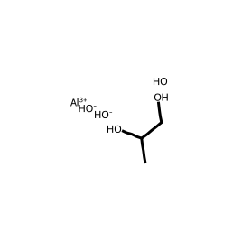 CC(O)CO.[Al+3].[OH-].[OH-].[OH-]